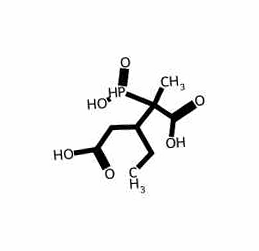 CCC(CC(=O)O)C(C)(C(=O)O)[PH](=O)O